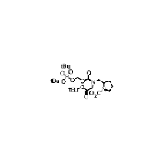 CC(C)(C)OC(=O)CN(CC1CCCN1C(=O)O)C(=O)OCOP(=O)(OC(C)(C)C)OC(C)(C)C